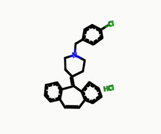 Cl.Clc1ccc(CN2CCC(=C3c4ccccc4C=Cc4ccccc43)CC2)cc1